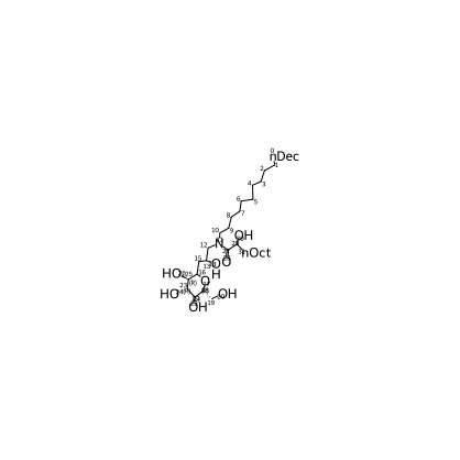 CCCCCCCCCCCCCCCCCCCCN(CC(O)CC1O[C@H](CO)[C@@H](O)[C@H](O)[C@H]1O)C(=O)C(O)CCCCCCCC